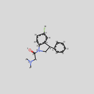 CN(C)CC(=O)N1CC(c2ccccc2)c2cc(F)ccc21